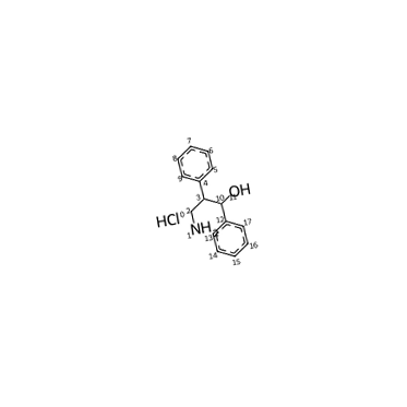 Cl.NCC(c1ccccc1)C(O)c1ccccc1